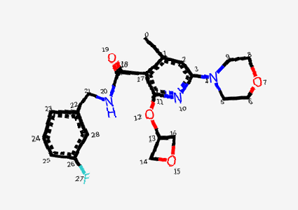 Cc1cc(N2CCOCC2)nc(OC2COC2)c1C(=O)NCc1cccc(F)c1